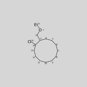 CCOCC1CCCCCCCCCCC1Cl